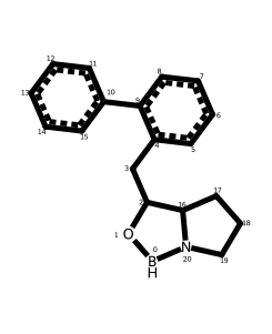 B1OC(Cc2ccccc2-c2ccccc2)C2CCCN12